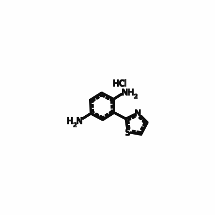 Cl.Nc1ccc(N)c(-c2nccs2)c1